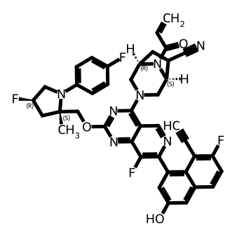 C#Cc1c(F)ccc2cc(O)cc(-c3ncc4c(N5C[C@H]6CC(C#N)[C@@H](C5)N6C(=O)C=C)nc(OC[C@]5(C)C[C@@H](F)CN5c5ccc(F)cc5)nc4c3F)c12